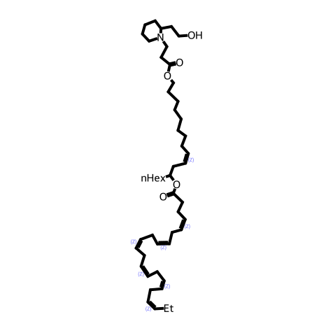 CC/C=C\C/C=C\C/C=C\C/C=C\C/C=C\C/C=C\CCC(=O)OC(C/C=C\CCCCCCCCOC(=O)CCN1CCCCC1CCO)CCCCCC